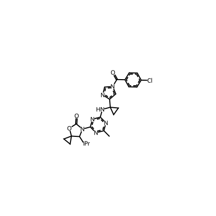 Cc1nc(NC2(c3cn(C(=O)c4ccc(Cl)cc4)cn3)CC2)nc(N2C(=O)OC3(CC3)C2C(C)C)n1